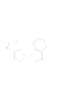 O=C(O)NC1CCN([C@H]2CCc3ccccc32)C1